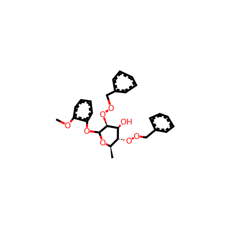 COc1ccccc1OC1O[C@H](C)[C@@H](OOCc2ccccc2)[C@H](O)[C@@H]1OOCc1ccccc1